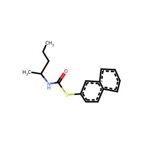 CCCC(C)NC(=O)Sc1ccc2ccccc2c1